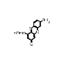 CCCCCc1cc(=O)cc2oc3cc(N)ccc3nc1-2